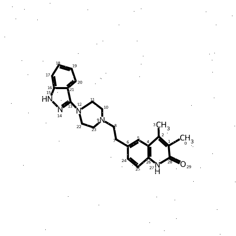 Cc1c(C)c2cc(CCN3CCN(c4n[nH]c5ccccc45)CC3)ccc2[nH]c1=O